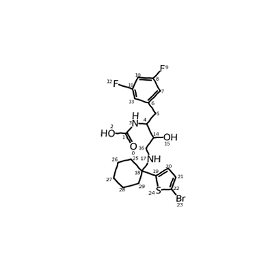 O=C(O)NC(Cc1cc(F)cc(F)c1)C(O)CNC1(c2ccc(Br)s2)CCCCC1